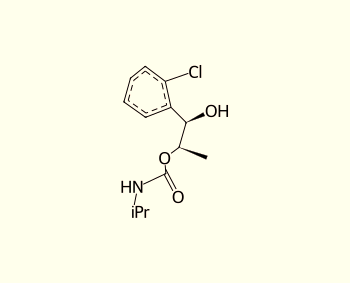 CC(C)NC(=O)O[C@H](C)[C@H](O)c1ccccc1Cl